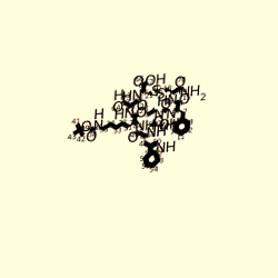 CCNC(=O)N[C@H](Cc1ccccc1)C(=O)N[C@@H](CSSC[C@H](NC(=O)[C@@H](NC(=O)[C@H](CCCCCNC(=O)OC(C)(C)C)NC(=O)[C@@H](Cc1c[nH]c2ccccc12)NCOO)[C@@H](C)O)C(=O)O)C(N)=O